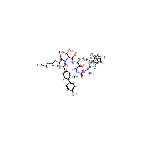 CCCCc1ccc(-c2ccc(C(=O)N[C@@H](CCCCN)C(=O)N[C@H](C(=O)N[C@@H](N)C(=O)N[C@H](C(=O)N[C@@H](N)B3OC4C[C@@H]5C[C@@H](C5(C)C)[C@]4(C)O3)C(C)C)[C@@H](C)O)cc2)cc1